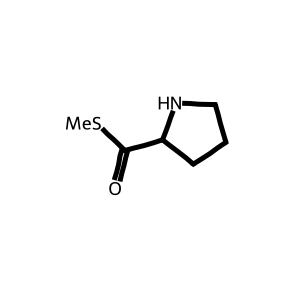 CSC(=O)C1CCCN1